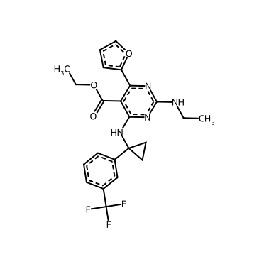 CCNc1nc(NC2(c3cccc(C(F)(F)F)c3)CC2)c(C(=O)OCC)c(-c2ccco2)n1